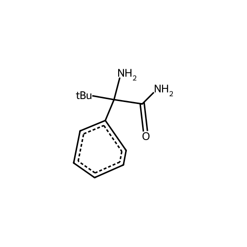 CC(C)(C)C(N)(C(N)=O)c1ccccc1